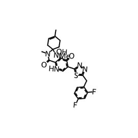 CNC1(N(C)C(=O)c2[nH]cc(-c3nnc(Cc4ccc(F)cc4F)s3)c(=O)c2O)CC=C(C)CC1